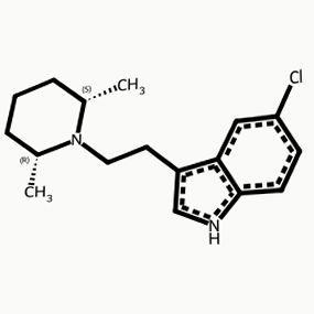 C[C@@H]1CCC[C@H](C)N1CCc1c[nH]c2ccc(Cl)cc12